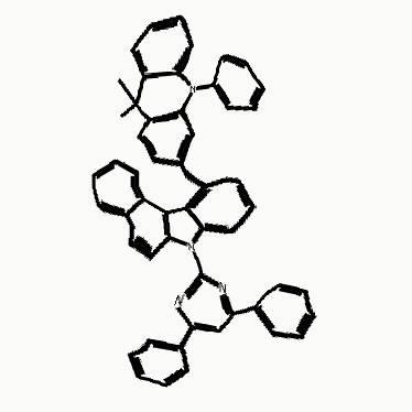 CC1(C)c2ccccc2N(c2ccccc2)c2cc(-c3cccc4c3c3c5ccccc5ccc3n4-c3nc(-c4ccccc4)cc(-c4ccccc4)n3)ccc21